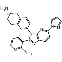 Nc1ncccc1-c1nc2ccc(-n3cccn3)nc2n1-c1ccc2c(c1)CC[C@H](N)C2